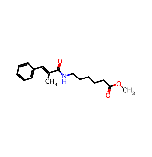 COC(=O)CCCCCNC(=O)/C(C)=C/c1ccccc1